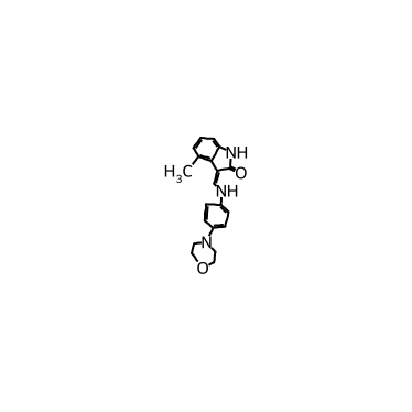 Cc1cccc2c1C(=CNc1ccc(N3CCOCC3)cc1)C(=O)N2